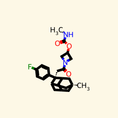 CNC(=O)OC1CN(C(=O)C[C@]2(c3ccc(F)cc3)C3CC4CC2C[C@](C)(C4)C3)C1